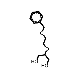 OCC(CO)OCCOCc1ccccc1